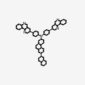 c1ccc2cc(-c3ccc4c(ccc5cc(N(c6ccc(-c7cnc8c(cnc9ccccc98)c7)cc6)c6ccc(-c7cnc8c(cnc9ccccc98)c7)cc6)ccc54)c3)ccc2c1